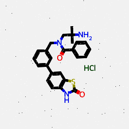 CC(C)(N)CN(Cc1cccc(-c2ccc3[nH]c(=O)sc3c2)c1)C(=O)c1ccccc1.Cl